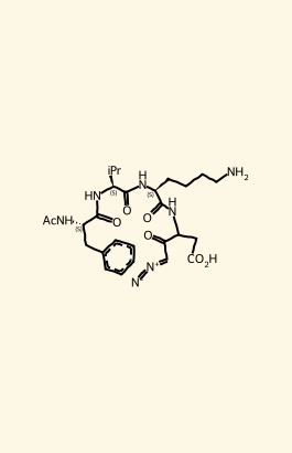 CC(=O)N[C@@H](Cc1ccccc1)C(=O)N[C@H](C(=O)N[C@@H](CCCCN)C(=O)NC(CC(=O)O)C(=O)C=[N+]=[N-])C(C)C